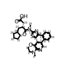 CN1CCOc2cc(-c3ccccc3-c3csc(N(C)C(=O)[C@@H](CC(=O)O)CC4CCCC4)n3)cnc21